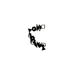 O=C(c1cn2c(n1)CN(C(=O)Cc1ccc(OCC[C@@H]3C[C@@H]3C3CCN(c4ncc(Cl)cn4)CC3)cc1F)CC2)C1CC1